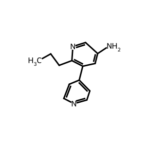 CCCc1ncc(N)cc1-c1ccncc1